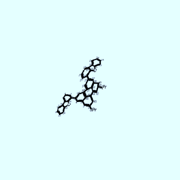 CC(C)c1cc2cc(-c3cccc4c3oc3ccccc34)cc3c4cc(-c5cccc6c5oc5ccccc56)cc5cc(C(C)C)cc(c(c1)c23)c54